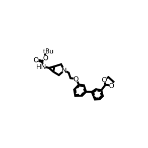 CC(C)(C)OC(=O)NC1C2CN(CCOc3cccc(-c4cccc(C5OCCO5)c4)c3)CC21